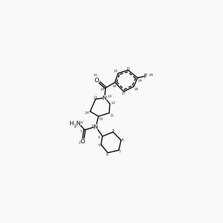 NC(=O)N(C1CCCCC1)C1CCN(C(=O)c2ccc(F)cc2)CC1